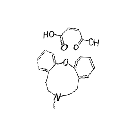 CN1CCc2ccccc2Oc2ccccc2CC1.O=C(O)/C=C\C(=O)O